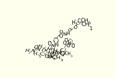 CC(C)C(NC(=O)C(C)(C)CCOC(C)(C)CCC(=O)ON1C(=O)CCC1=O)C(=O)N[C@H](CCCNC(N)=O)C(=O)Nc1ccc(COC(=O)NCCOCCOCCC(C)(C)C)cc1